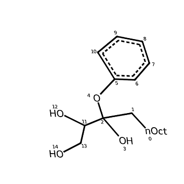 CCCCCCCCCC(O)(Oc1ccccc1)C(O)CO